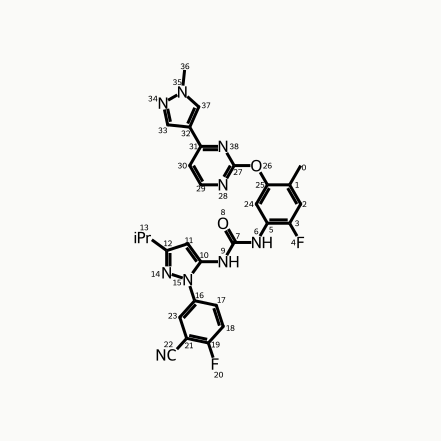 Cc1cc(F)c(NC(=O)Nc2cc(C(C)C)nn2-c2ccc(F)c(C#N)c2)cc1Oc1nccc(-c2cnn(C)c2)n1